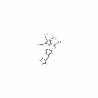 CCC1=C(C#N)C(c2ccc(OC3CCCC3)cc2)C(C(=O)O)N1C